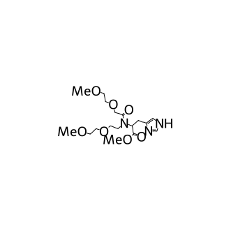 COCCOCCN(C(=O)COCCOC)C(Cc1c[nH]cn1)C(=O)OC